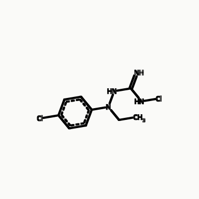 CCN(NC(=N)NCl)c1ccc(Cl)cc1